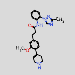 COc1cc(CCC(=O)Nc2ccccc2-n2cnc(C)n2)ccc1C1=CCNCC1